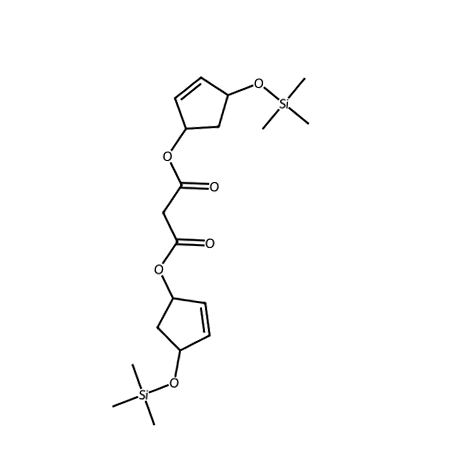 C[Si](C)(C)OC1C=CC(OC(=O)CC(=O)OC2C=CC(O[Si](C)(C)C)C2)C1